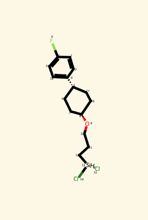 Fc1ccc([C@H]2CC[C@H](OCCC[SiH](Cl)Cl)CC2)cc1